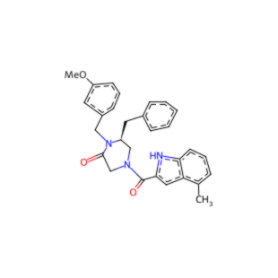 COc1cccc(CN2C(=O)CN(C(=O)c3cc4c(C)cccc4[nH]3)C[C@@H]2Cc2ccccc2)c1